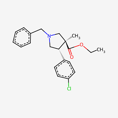 CCOC(=O)[C@]1(C)CN(Cc2ccccc2)C[C@H]1c1ccc(Cl)cc1